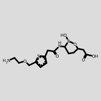 NCCOCc1ccc(CC(=O)NC2CCC(CC(=O)O)OB2O)s1